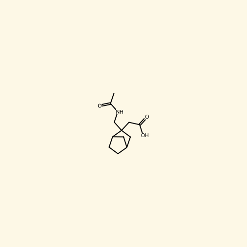 CC(=O)NCC1(CC(=O)O)CC2CCC1C2